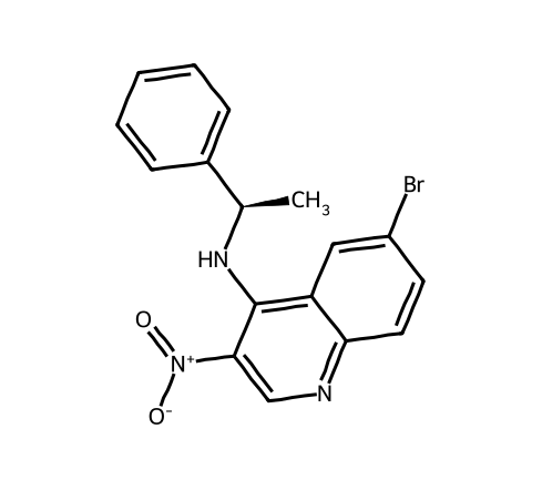 C[C@@H](Nc1c([N+](=O)[O-])cnc2ccc(Br)cc12)c1ccccc1